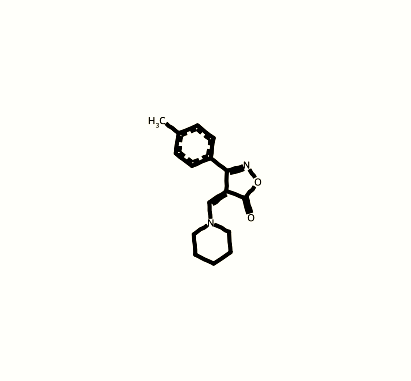 Cc1ccc(C2=NOC(=O)C2=CN2CCCCC2)cc1